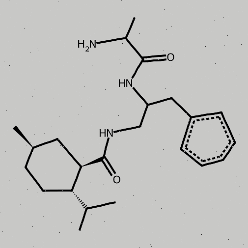 CC(N)C(=O)NC(CNC(=O)[C@@H]1C[C@H](C)CC[C@H]1C(C)C)Cc1ccccc1